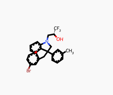 Cc1cccc(C2(Cc3cccc(Br)c3)CN(C[C@@H](O)C(F)(F)F)c3ccccc32)c1